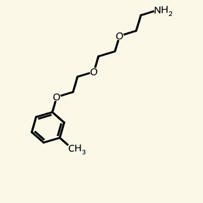 Cc1cccc(OCCOCCOCCN)c1